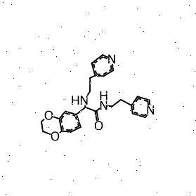 O=C(NCCc1ccncc1)C(NCCc1ccncc1)c1ccc2c(c1)OCCO2